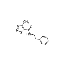 Cc1nnsc1C(=O)NCCc1ccccc1